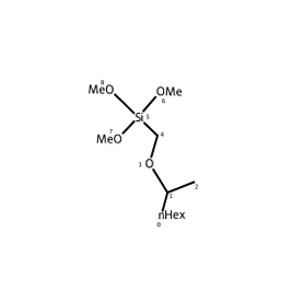 CCCCCCC(C)OC[Si](OC)(OC)OC